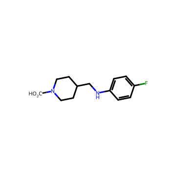 O=C(O)N1CCC(CNc2ccc(F)cc2)CC1